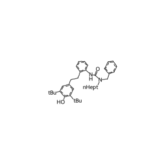 CCCCCCCN(Cc1ccccc1)C(=O)Nc1ccccc1CCc1cc(C(C)(C)C)c(O)c(C(C)(C)C)c1